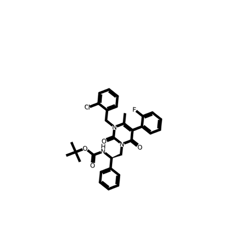 Cc1c(-c2ccccc2F)c(=O)n(C[C@H](NC(=O)OC(C)(C)C)c2ccccc2)c(=O)n1Cc1ccccc1Cl